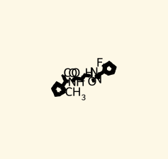 Cc1ccccc1C(CC(=O)O)NC(=O)CCc1nc(-c2ccccc2F)no1